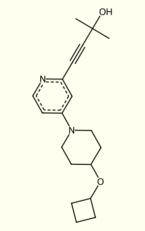 CC(C)(O)C#Cc1cc(N2CCC(OC3CCC3)CC2)ccn1